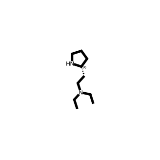 CCN(CC)CC[C@H]1CCCN1